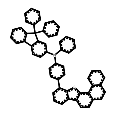 c1ccc(N(c2ccc(-c3cccc4c3sc3c4ccc4ccc5ccccc5c43)cc2)c2ccc3c(c2)C(c2ccccc2)(c2ccccc2)c2ccccc2-3)cc1